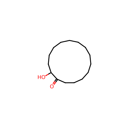 O=C1CCCCCCCCCCCCCC1O